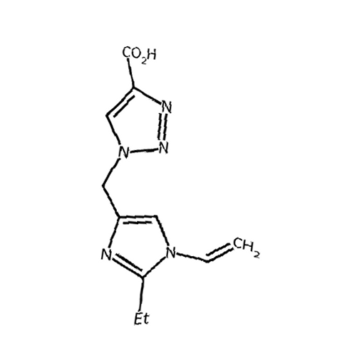 C=Cn1cc(Cn2cc(C(=O)O)nn2)nc1CC